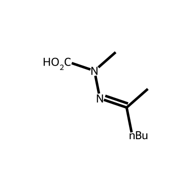 CCCCC(C)=NN(C)C(=O)O